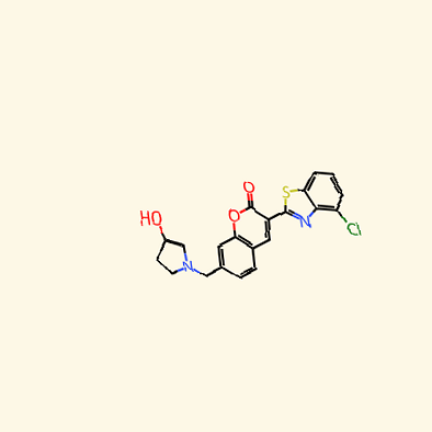 O=c1oc2cc(CN3CCC(O)C3)ccc2cc1-c1nc2c(Cl)cccc2s1